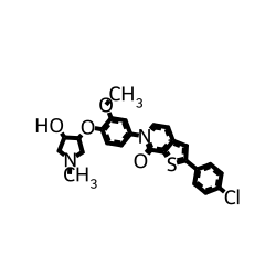 COc1cc(-n2ccc3cc(-c4ccc(Cl)cc4)sc3c2=O)ccc1OC1CN(C)CC1O